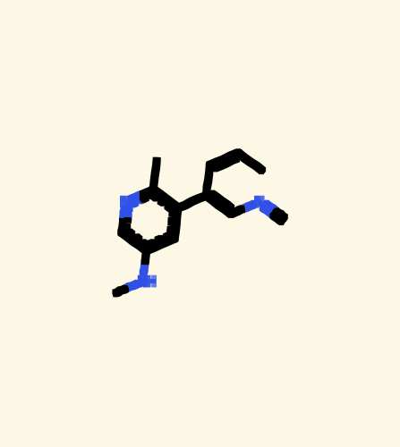 C=N/C=C(\C=C/C)c1cc(NC)cnc1C